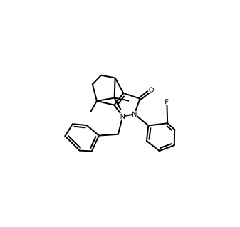 CC12CCC(c3c1n(Cc1ccccc1)n(-c1ccccc1F)c3=O)C2(C)C